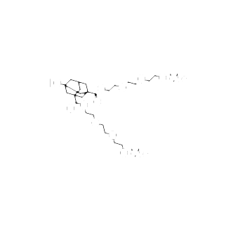 COCCOCCOCCOC(=O)C12CC3CC(O)(C1)CC(C(=O)OCCOCCOCCOC)(C3)C2